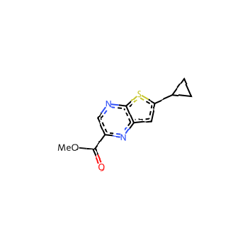 COC(=O)c1cnc2sc(C3CC3)cc2n1